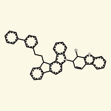 CCC1c2oc3ccccc3c2C=CC1n1c2ccccc2c2c3c(ccc21)-c1ccccc1C3CCc1cccc(-c2ccccc2)c1